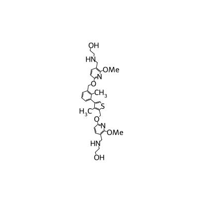 COc1nc(OCc2cccc(-c3csc(COc4ccc(CNCCO)c(OC)n4)c3C)c2C)ccc1CNCCO